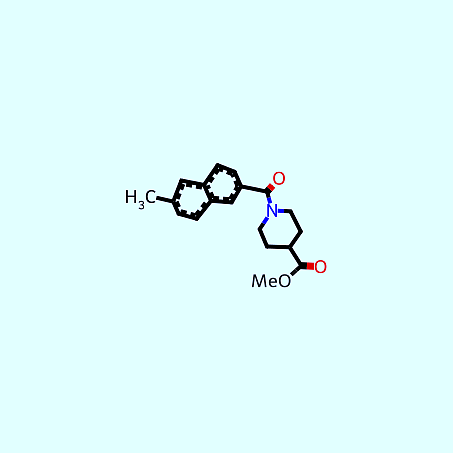 COC(=O)C1CCN(C(=O)c2ccc3cc(C)ccc3c2)CC1